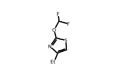 CCc1csc(OC(F)F)n1